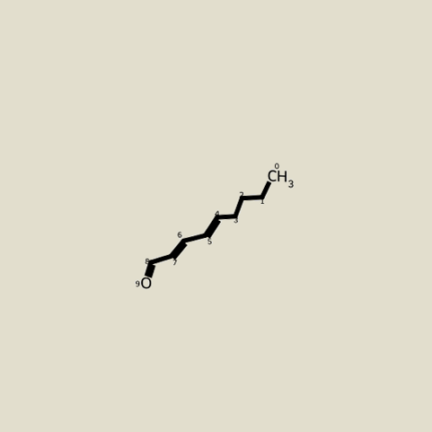 CCCCC=CC=CC=O